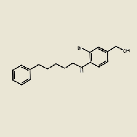 OCc1ccc(NCCCCCc2ccccc2)c(Br)c1